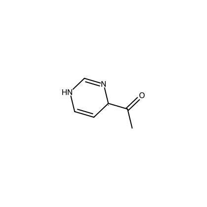 CC(=O)[C]1C=CNC=N1